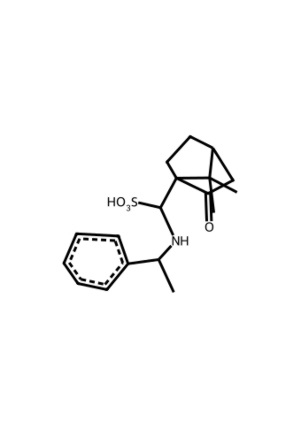 CC(NC(C12CCC(CC1=O)C2(C)C)S(=O)(=O)O)c1ccccc1